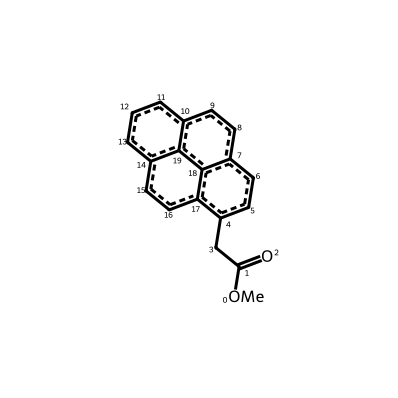 COC(=O)Cc1ccc2ccc3cccc4ccc1c2c34